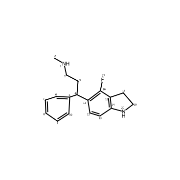 CNCCC(c1ccccc1)c1ccc2c(c1F)CCN2